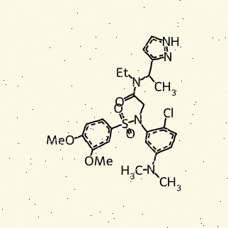 CCN(C(=O)CN(c1cc(N(C)C)ccc1Cl)S(=O)(=O)c1ccc(OC)c(OC)c1)C(C)c1cc[nH]n1